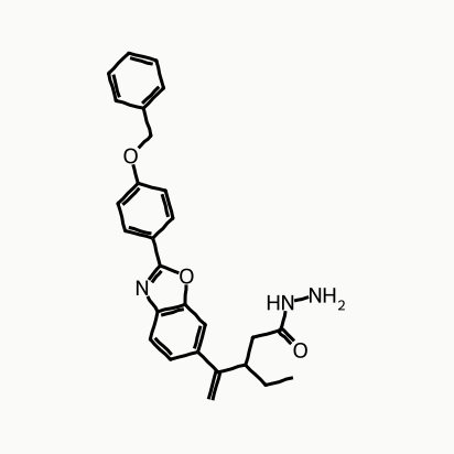 C=C(c1ccc2nc(-c3ccc(OCc4ccccc4)cc3)oc2c1)C(CC)CC(=O)NN